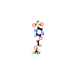 CS(=O)(=O)c1cnc(OCCOC(F)F)cn1